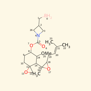 BCC1CN(C(=O)OC2CCC3(CO3)C(C3(C)OC3CC=C(C)C)C2OC)C1